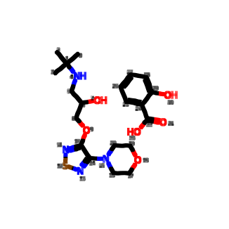 CC(C)(C)NCC(O)COc1nsnc1N1CCOCC1.O=C(O)c1ccccc1O